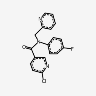 O=C(c1ccc(Cl)nc1)N(Cc1ccccn1)c1ccc(F)cc1